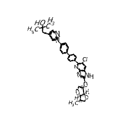 C[C@@H]1CO[C@H]2[C@@H]1OC[C@H]2Oc1nc2nc(-c3ccc(-c4ccc(-n5cc(CC(C)(C)O)cn5)cc4)cc3)c(Cl)cc2[nH]1